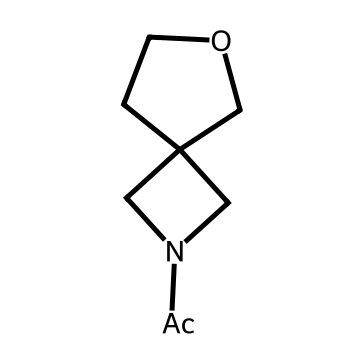 CC(=O)N1CC2(CCOC2)C1